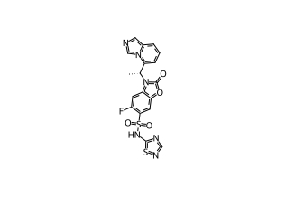 C[C@H](c1cccc2cncn12)n1c(=O)oc2cc(S(=O)(=O)Nc3ncns3)c(F)cc21